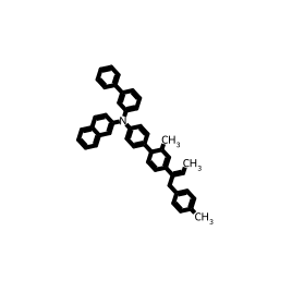 C/C=C(/Cc1ccc(C)cc1)C1=CC(C)C(c2ccc(N(c3cccc(-c4ccccc4)c3)c3ccc4ccccc4c3)cc2)C=C1